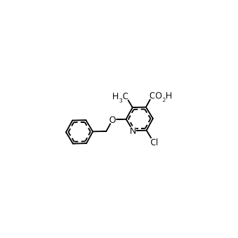 Cc1c(C(=O)O)cc(Cl)nc1OCc1ccccc1